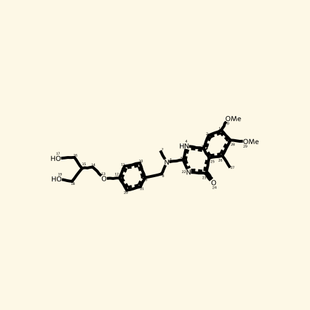 COc1cc2[nH]c(N(C)Cc3ccc(OCC(CO)CO)cc3)nc(=O)c2c(C)c1OC